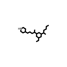 CCCCC(C)C1CC(CC)CC(C(C)CCCC2CCNCC2)C1